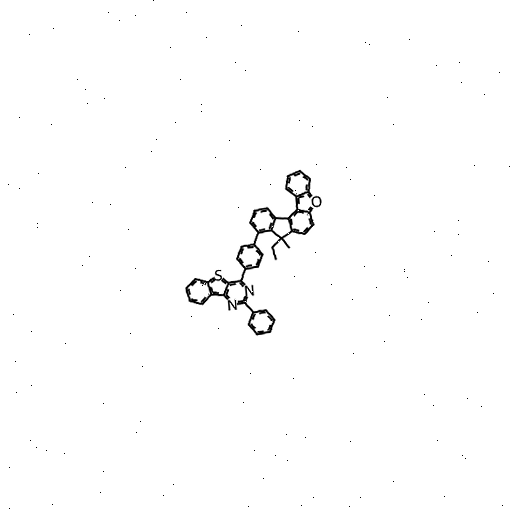 CCC1(C)c2ccc3oc4ccccc4c3c2-c2cccc(-c3ccc(-c4nc(-c5ccccc5)nc5c4sc4ccccc45)cc3)c21